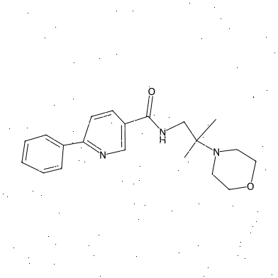 CC(C)(CNC(=O)c1ccc(-c2ccccc2)nc1)N1CCOCC1